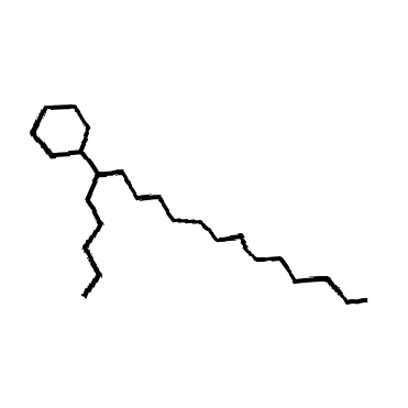 CCCCCCCCCCCCCC(CCCCC)[C]1CCCCC1